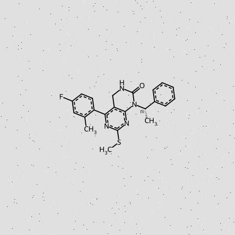 CSc1nc(-c2ccc(F)cc2C)c2c(n1)N([C@@H](C)c1ccccc1)C(=O)NC2